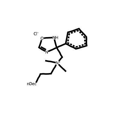 CCCCCCCCCCCC[N+](C)(C)CC1(c2ccccc2)N=CON1.[Cl-]